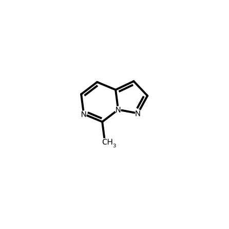 Cc1nccc2ccnn12